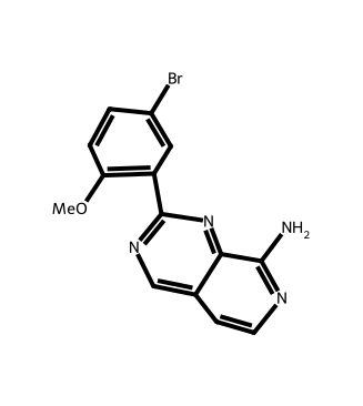 COc1ccc(Br)cc1-c1ncc2ccnc(N)c2n1